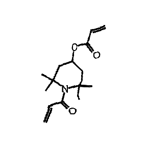 C=CC(=O)OC1CC(C)(C)N(C(=O)C=C)C(C)(C)C1